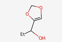 CCC(O)C1=COCO1